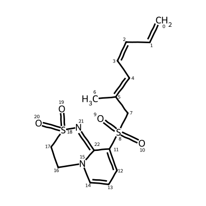 C=C/C=C\C=C(/C)CS(=O)(=O)C1=CC=CN2CCS(=O)(=O)N=C12